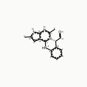 Cc1nc(Nc2ccccc2CC=O)c2cc(C)sc2n1